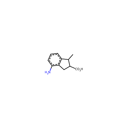 CC1c2cccc(N)c2CC1C(=O)O